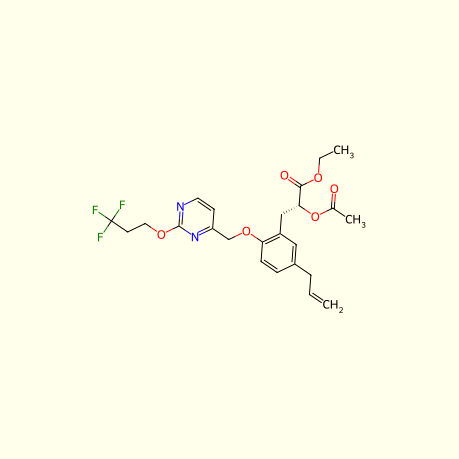 C=CCc1ccc(OCc2ccnc(OCCC(F)(F)F)n2)c(C[C@@H](OC(C)=O)C(=O)OCC)c1